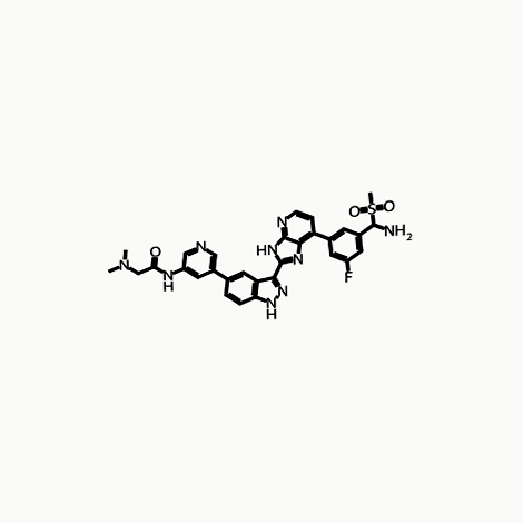 CN(C)CC(=O)Nc1cncc(-c2ccc3[nH]nc(-c4nc5c(-c6cc(F)cc(C(N)S(C)(=O)=O)c6)ccnc5[nH]4)c3c2)c1